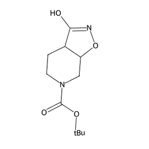 CC(C)(C)OC(=O)N1CCC2C(O)=NOC2C1